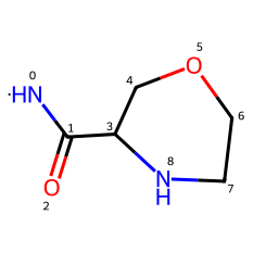 [NH]C(=O)C1COCCN1